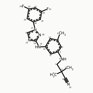 Cc1cc(NCC(C)(C)C#N)cc(Nc2ncn(-c3cc(F)cc(F)c3)n2)c1